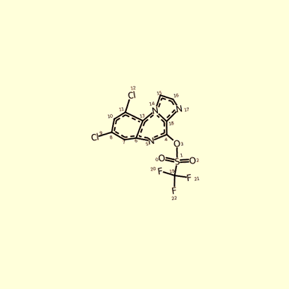 O=S(=O)(Oc1nc2cc(Cl)cc(Cl)c2n2ccnc12)C(F)(F)F